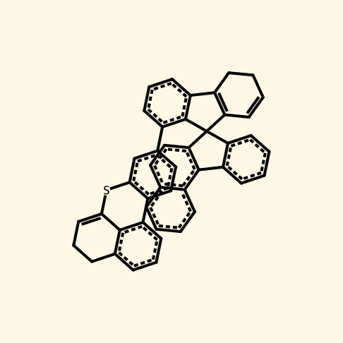 C1=CC2=C(CC1)c1cccc(-c3ccc4c(c3)SC3=CCCc5cccc-4c53)c1C21c2ccccc2-c2c1ccc1ccccc21